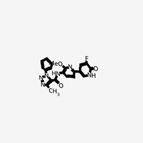 COc1nc(-c2c[nH]c(=O)c(F)c2)ccc1NC(=O)c1c(C)nnn1-c1ccccc1